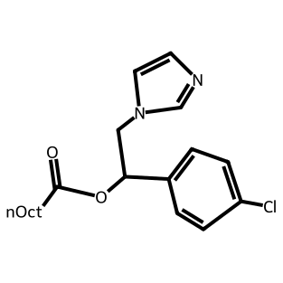 CCCCCCCCC(=O)OC(Cn1ccnc1)c1ccc(Cl)cc1